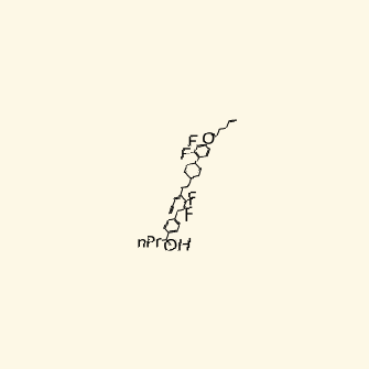 C#C/C=C(CCC1CCC(c2ccc(OCCCC=C)c(F)c2F)CC1)\C(F)=C(\F)Cc1ccc(C(O)CCC)cc1